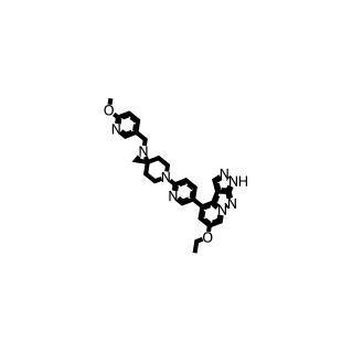 CCOc1cc(-c2ccc(N3CCC4(CC3)CN4Cc3ccc(OC)nc3)nc2)c2c3cn[nH]c3nn2c1